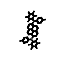 Cc1ccc(N(c2c(C)c(C)c(C)c(C)c2C)c2ccc3ccc4c(N(c5ccc(C)cc5)c5c(C)c(C)c(C)c(C)c5C)ccc5ccc2c3c54)cc1